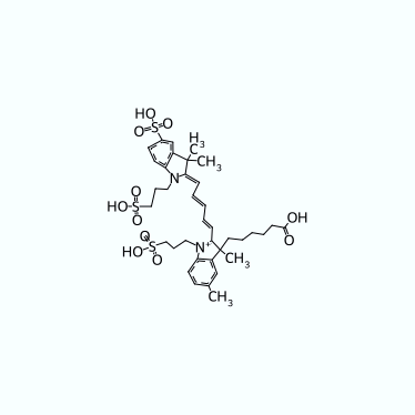 Cc1ccc2c(c1)C(C)(CCCCCC(=O)O)C(/C=C/C=C/C=C1\N(CCCS(=O)(=O)O)c3ccc(S(=O)(=O)O)cc3C1(C)C)=[N+]2CCCS(=O)(=O)O